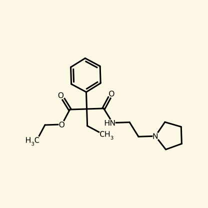 CCOC(=O)C(CC)(C(=O)NCCN1CCCC1)c1ccccc1